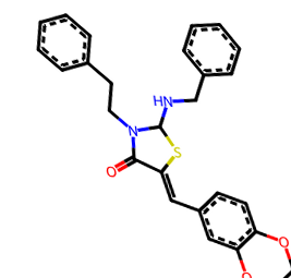 O=C1/C(=C/c2ccc3c(c2)OCCO3)SC(NCc2ccccc2)N1CCc1ccccc1